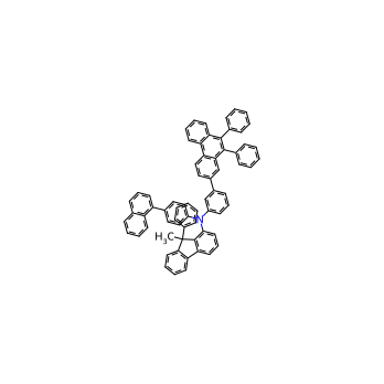 CC1(c2ccccc2)c2ccccc2-c2cccc(N(c3ccc(-c4cccc5ccccc45)cc3)c3cccc(-c4ccc5c(c4)c(-c4ccccc4)c(-c4ccccc4)c4ccccc45)c3)c21